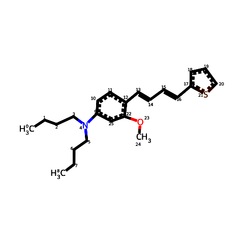 CCCCN(CCCC)c1ccc(C=CC=Cc2cccs2)c(OC)c1